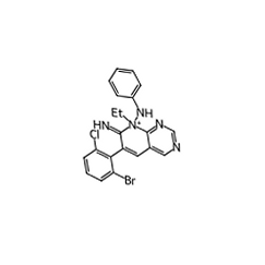 CC[N+]1(Nc2ccccc2)C(=N)C(c2c(Cl)cccc2Br)=Cc2cncnc21